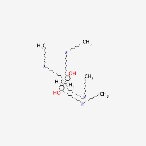 CCCCCCCC/C=C\CCCCCCCCc1c(O)ccc(C(C)(C)c2ccc(O)c(CCCCCCCC/C=C\CCCCCCCC)c2CCCCCCCC/C=C\CCCCCCCC)c1CCCCCCCC/C=C\CCCCCCCC